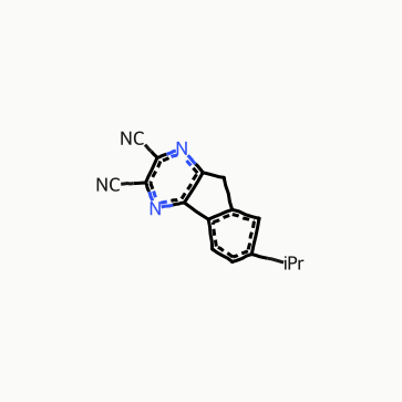 CC(C)c1ccc2c(c1)Cc1nc(C#N)c(C#N)nc1-2